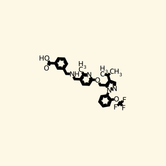 Cc1nc(OCc2c(C(C)C)cnn2-c2ccccc2OC(F)(F)F)ccc1CNCc1cccc(C(=O)O)c1